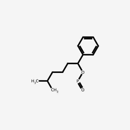 CC(C)CCCC(OP=O)c1ccccc1